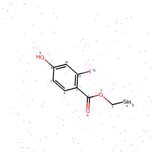 O=C(OC[SiH3])c1ccc(O)cc1I